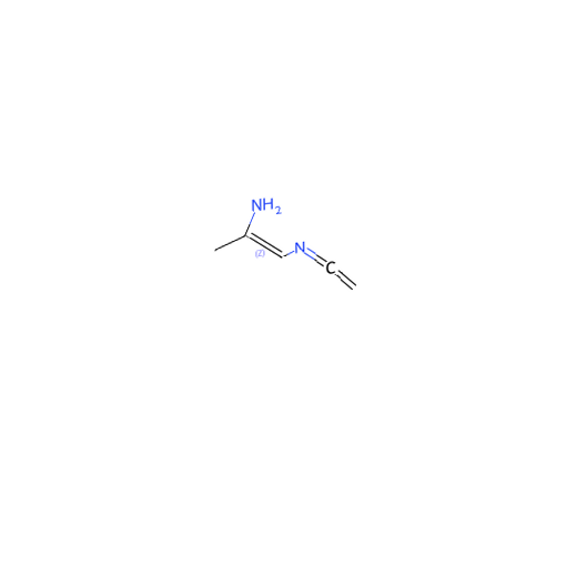 C=C=N/C=C(/C)N